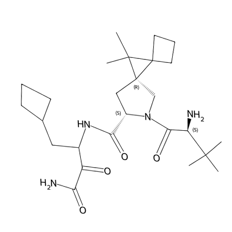 CC(C)(C)[C@H](N)C(=O)N1C[C@]2(C[C@H]1C(=O)NC(CC1CCC1)C(=O)C(N)=O)C(C)(C)C21CCC1